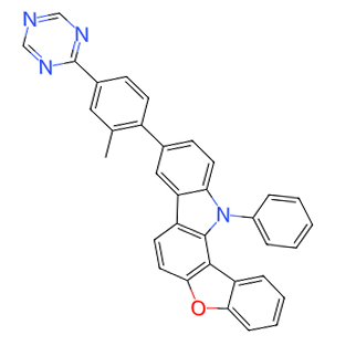 Cc1cc(-c2ncncn2)ccc1-c1ccc2c(c1)c1ccc3oc4ccccc4c3c1n2-c1ccccc1